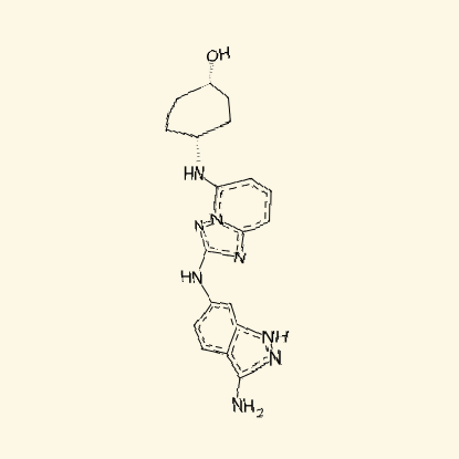 Nc1n[nH]c2cc(Nc3nc4cccc(N[C@H]5CC[C@@H](O)CC5)n4n3)ccc12